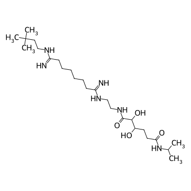 CC(C)NC(=O)CCC(O)C(O)C(=O)NCCNC(=N)CCCCCCC(=N)NCCC(C)(C)C